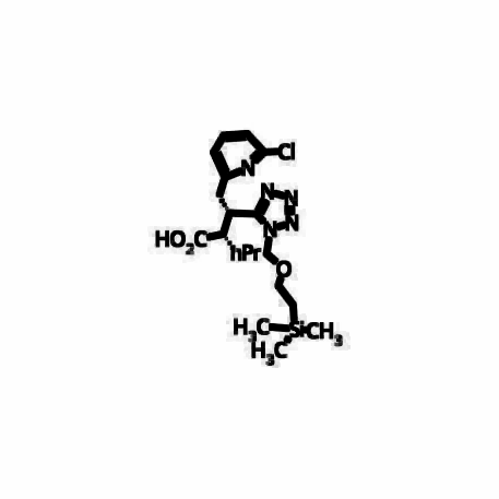 CCC[C@H](C(=O)O)[C@H](Cc1cccc(Cl)n1)c1nnnn1COCC[Si](C)(C)C